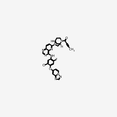 CC#CC(=O)N1CC[C@@H]2C[C@H]1CN2c1ccc2ncnc(Nc3cc(Cl)c(Oc4ccn5ncnc5c4)cc3F)c2n1